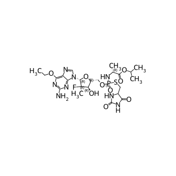 CCOc1nc(N)nc2c1ncn2[C@@H]1O[C@H](CO[P@@](=O)(N[C@H](C)C(=O)OC(C)C)SCC2NC(=O)NC2=O)[C@@H](O)[C@@]1(C)F